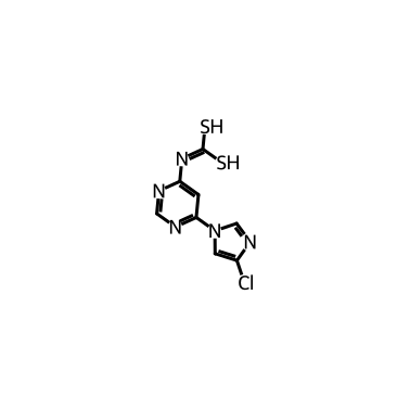 SC(S)=Nc1cc(-n2cnc(Cl)c2)ncn1